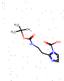 CC(C)(C)OC(=O)NCCc1nccn1C(=O)O